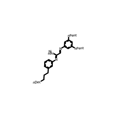 CCCCCCCCCCCCCc1cccc(/N=C(/C=N/c2cc(CCCCC)cc(CCCCC)c2)CCCC)c1.[Ni]